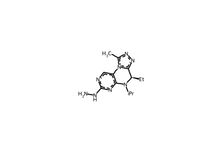 CC[C@@H]1c2nnc(C)n2-c2cnc(NN)nc2N1C(C)C